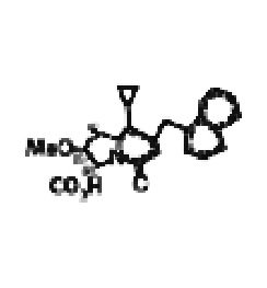 CO[C@H]1Sc2c(C3CC3)c(Cc3cccc4ccccc34)cc(=O)n2[C@@H]1C(=O)O